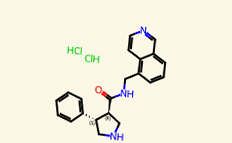 Cl.Cl.O=C(NCc1cccc2cnccc12)[C@H]1CNC[C@@H]1c1ccccc1